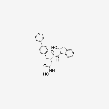 O=C(CC(Cc1ccc(-c2ccccc2)cc1)C(=O)NC1c2ccccc2CC1O)NO